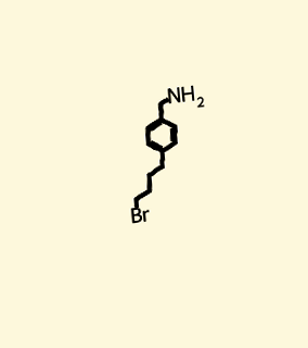 NCc1ccc(CCCCBr)cc1